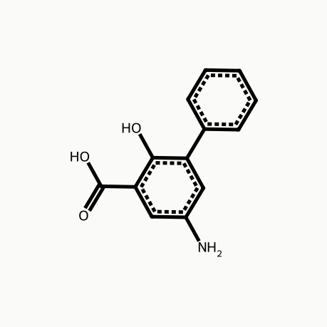 Nc1cc(C(=O)O)c(O)c(-c2ccccc2)c1